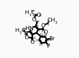 CCOC(=O)C1=C(COC(C)=O)Nc2c(c(=O)on2C)C1c1ccc(F)c(Br)c1